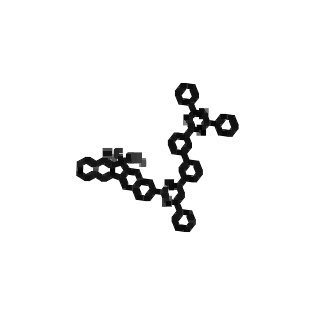 CC1(C)c2cc3ccccc3cc2-c2cc3ccc(-c4nc(-c5ccccc5)cc(-c5cccc(-c6cccc(-c7nc(-c8ccccc8)nc(-c8ccccc8)n7)c6)c5)n4)cc3cc21